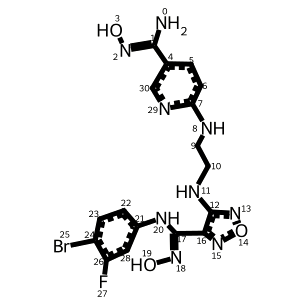 N/C(=N\O)c1ccc(NCCNc2nonc2/C(=N/O)Nc2ccc(Br)c(F)c2)nc1